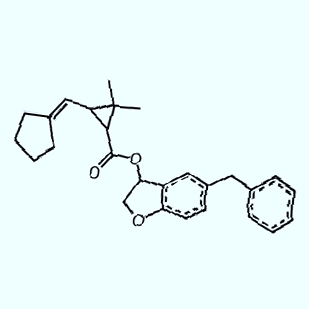 CC1(C)C(C=C2CCCC2)C1C(=O)OC1COc2ccc(Cc3ccccc3)cc21